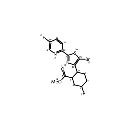 COC(=O)C1CC(F)CCC1c1nc(-c2ccc(F)cn2)sc1Br